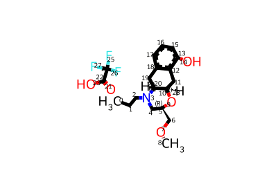 CCCN1C[C@H](COC)O[C@@H]2Cc3c(O)cccc3C[C@H]21.O=C(O)C(F)(F)F